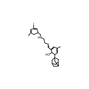 CC1=CC(C23CC4CC(C2)C(C4)C3)C(O)C(/C=N/CCNCC2C=C(I)C=C(I)C2)=C1